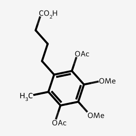 COc1c(OC(C)=O)c(C)c(CCCC(=O)O)c(OC(C)=O)c1OC